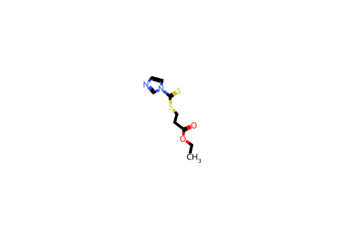 CCOC(=O)CCSC(=S)n1ccnc1